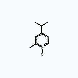 Cc1cc(C(C)C)cc[n+]1[O-]